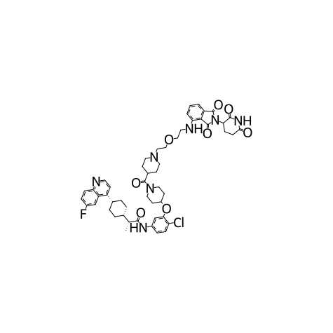 C[C@@H](C(=O)Nc1ccc(Cl)c(OC2CCN(C(=O)C3CCN(CCOCCNc4cccc5c4C(=O)N(C4CCC(=O)NC4=O)C5=O)CC3)CC2)c1)[C@H]1CC[C@@H](c2ccnc3ccc(F)cc32)CC1